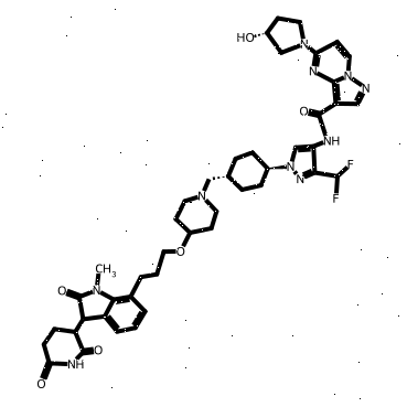 CN1C(=O)C(C2CCC(=O)NC2=O)c2cccc(CCCOC3CCN(C[C@H]4CC[C@H](n5cc(NC(=O)c6cnn7ccc(N8CC[C@@H](O)C8)nc67)c(C(F)F)n5)CC4)CC3)c21